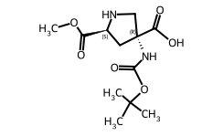 COC(=O)[C@@H]1C[C@](NC(=O)OC(C)(C)C)(C(=O)O)CN1